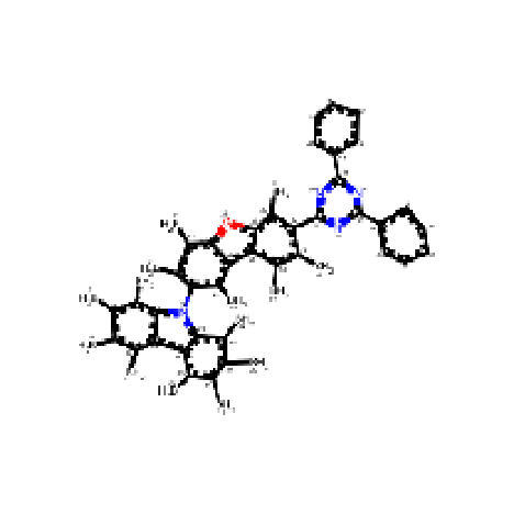 Bc1c(-n2c3c(B)c(B)c(B)c(B)c3c3c(B)c(B)c(B)c(B)c32)c(B)c2c(oc3c(B)c(-c4nc(-c5ccccc5)nc(-c5ccccc5)n4)c(B)c(B)c32)c1B